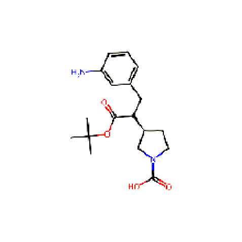 CC(C)(C)OC(=O)C(Cc1cccc(N)c1)[C@H]1CCN(C(=O)O)C1